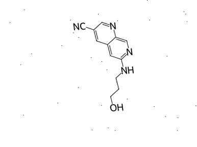 N#Cc1cnc2cnc(NCCCO)cc2c1